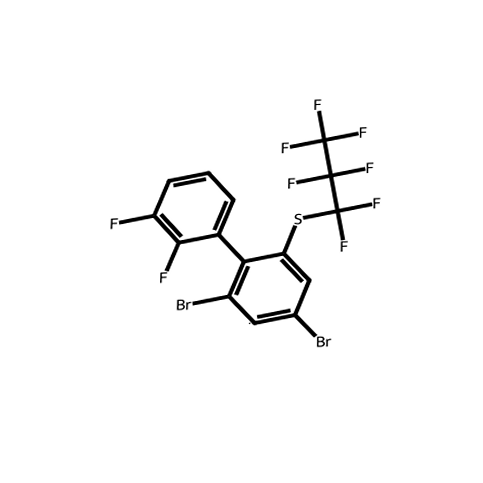 Fc1cccc(-c2c(Br)[c]c(Br)cc2SC(F)(F)C(F)(F)C(F)(F)F)c1F